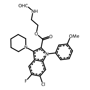 COc1cccc(-n2c(C(=O)OCCNC=O)c(N3CCCCC3)c3cc(F)c(Cl)cc32)c1